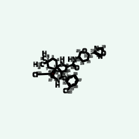 CC1(C)CCC2(CC1)N[C@@H](C(=O)N[C@@H]1CC[C@@H](c3ncon3)OC1)[C@H](c1cccc(Cl)c1)[C@]21C(=O)Nc2cc(Cl)ccc21